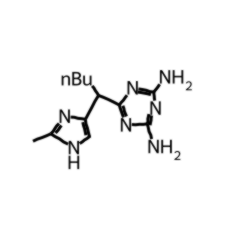 CCCCC(c1c[nH]c(C)n1)c1nc(N)nc(N)n1